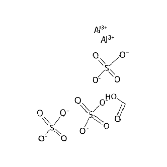 O=CO.O=S(=O)([O-])[O-].O=S(=O)([O-])[O-].O=S(=O)([O-])[O-].[Al+3].[Al+3]